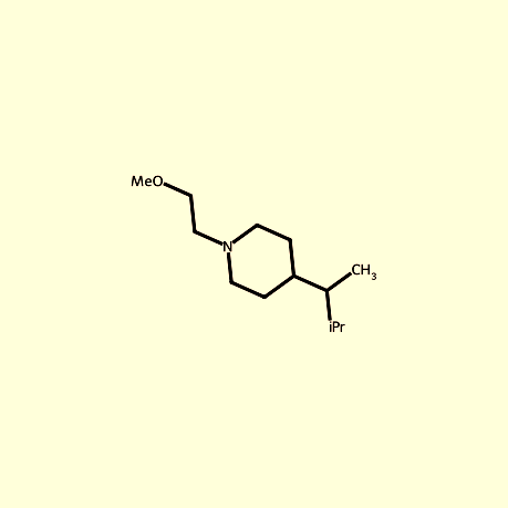 COCCN1CCC(C(C)C(C)C)CC1